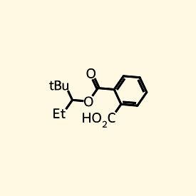 CCC(OC(=O)c1ccccc1C(=O)O)C(C)(C)C